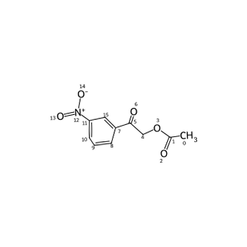 CC(=O)OCC(=O)c1cccc([N+](=O)[O-])c1